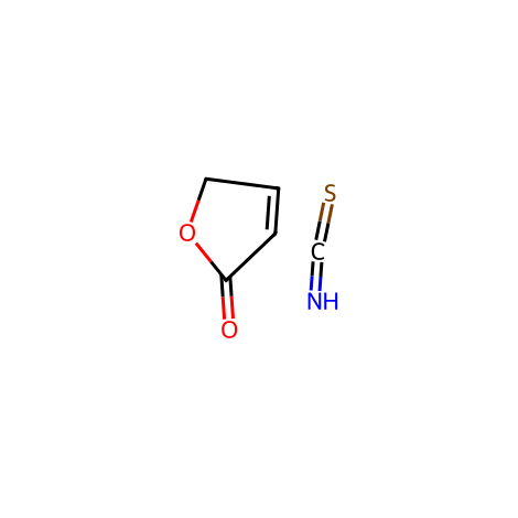 N=C=S.O=C1C=CCO1